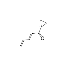 C=CC=CC(=O)[C]1CC1